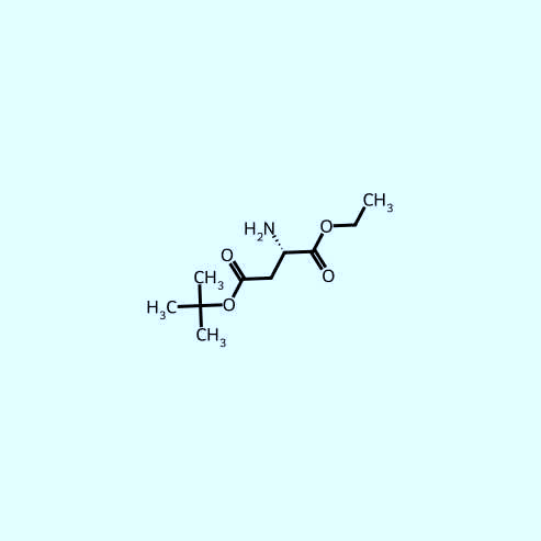 CCOC(=O)[C@@H](N)CC(=O)OC(C)(C)C